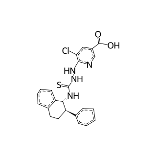 O=C(O)c1cnc(NNC(=S)N[C@H]2c3ccccc3CC[C@@H]2c2ccccc2)c(Cl)c1